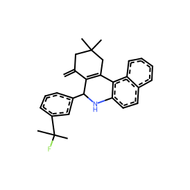 C=C1CC(C)(C)CC2=C1C(c1cccc(C(C)(C)F)c1)Nc1ccc3ccccc3c12